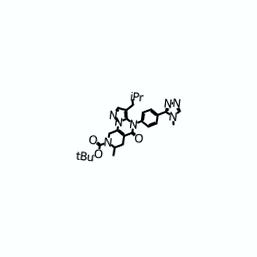 CC(C)Cc1cnn2c3c(c(=O)n(-c4ccc(-c5nncn5C)cc4)c12)CC(C)N(C(=O)OC(C)(C)C)C3